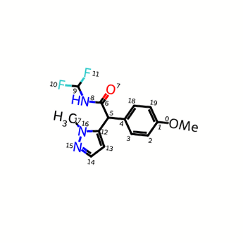 COc1ccc(C(C(=O)NC(F)F)c2ccnn2C)cc1